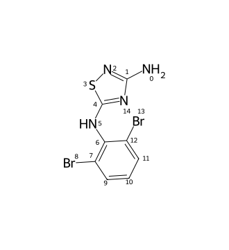 Nc1nsc(Nc2c(Br)cccc2Br)n1